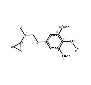 COc1cc(CCN(C)C2CC2)cc(OC)c1OC(C)C